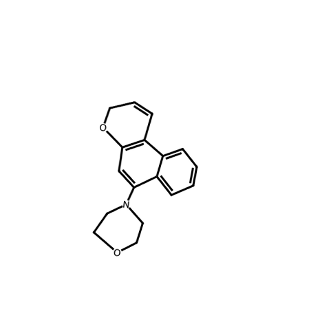 C1=Cc2c(cc(N3CCOCC3)c3ccccc23)OC1